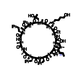 C/C=C/C[C@@H](C)[C@@H](O)[C@H]1C(=O)N[C@H](CC)C(=O)N(C)[C@@H](CSCCCCO)C(=O)N(C)[C@@H](CC(C)(C)O)C(=O)N[C@H](C(C)C)C(=O)N(C)[C@H](CCC(C)C)C(=O)N[C@H](C)C(=O)N[C@@H](C)C(=O)N(C)[C@@H](CC(C)C)C(=O)N(C)[C@H](CC(C)C)C(=O)N(C)[C@H](C(C)C)C(=O)N1C